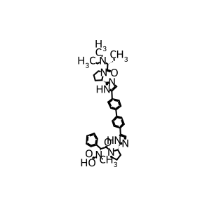 CC[C@H](C(=O)N1CCC[C@H]1c1ncc(-c2ccc(-c3ccc(-c4cnc([C@@H]5CCCN5C(=O)[C@@H](c5ccccc5)N(C)C(=O)O)[nH]4)cc3)cc2)[nH]1)N(CC)CC